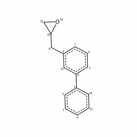 c1ccc(-c2cccc(CC3CO3)c2)cc1